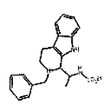 CCOC(=O)NC(C)C1c2[nH]c3ccccc3c2CCN1Cc1ccccc1